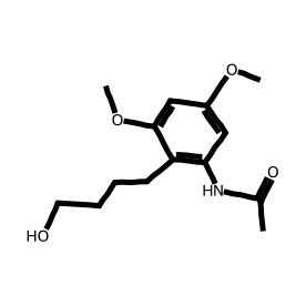 COc1cc(NC(C)=O)c(CCCCO)c(OC)c1